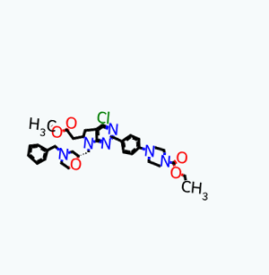 CCOC(=O)N1CCN(c2ccc(-c3nc(Cl)c4c(n3)N(C[C@H]3CN(Cc5ccccc5)CCO3)C(CC(=O)OC)C4)cc2)CC1